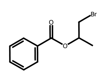 CC(CBr)OC(=O)c1ccccc1